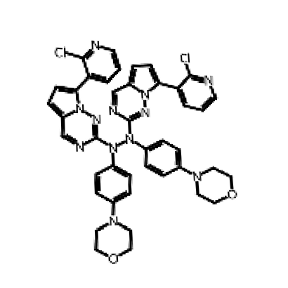 Clc1ncccc1-c1ccc2cnc(N(c3ccc(N4CCOCC4)cc3)N(c3ccc(N4CCOCC4)cc3)c3ncc4ccc(-c5cccnc5Cl)n4n3)nn12